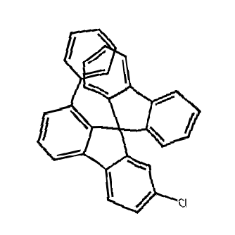 Clc1ccc2c(c1)C1(c3ccccc3-c3ccccc31)c1c(-c3ccccc3)cccc1-2